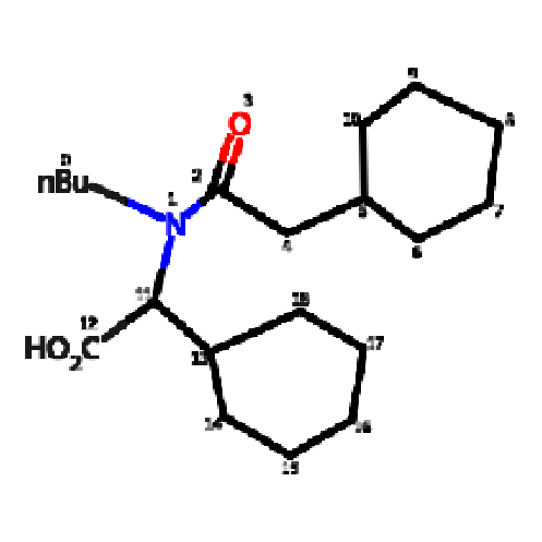 CCCCN(C(=O)CC1CCCCC1)C(C(=O)O)C1CCCCC1